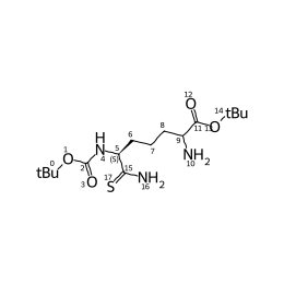 CC(C)(C)OC(=O)N[C@@H](CCCC(N)C(=O)OC(C)(C)C)C(N)=S